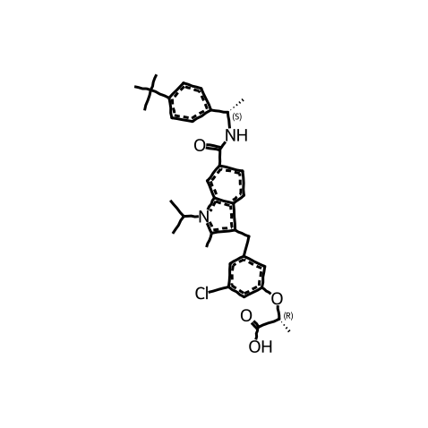 Cc1c(Cc2cc(Cl)cc(O[C@H](C)C(=O)O)c2)c2ccc(C(=O)N[C@@H](C)c3ccc(C(C)(C)C)cc3)cc2n1C(C)C